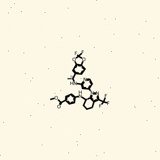 COC(=O)c1ccc(NC2CCCc3c(C(F)(F)F)nn(-c4ccnc(N[C@@H](C)c5ccc6c(c5)OC(F)(F)O6)c4)c32)cc1